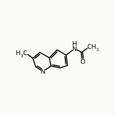 CC(=O)Nc1ccc2ncc(C)cc2c1